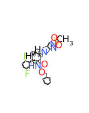 CS(=O)(=O)n1cc2c(n1)CN([C@@H]1C[C@H](NC(=O)OCc3ccccc3)[C@@H](c3cc(F)ccc3F)[C@@H]3C[C@@H]31)C2